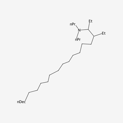 CCCCCCCCCCCCCCCCCCCCCCC(CC)C(CC)N(CCC)CCC